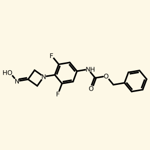 O=C(Nc1cc(F)c(N2CC(=NO)C2)c(F)c1)OCc1ccccc1